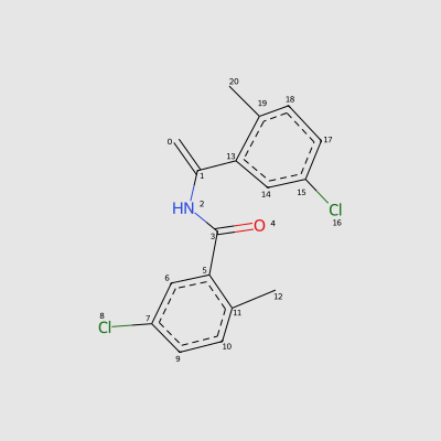 C=C(NC(=O)c1cc(Cl)ccc1C)c1cc(Cl)ccc1C